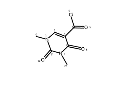 Cn1cc(C(=O)Cl)c(=O)n(C)c1=O